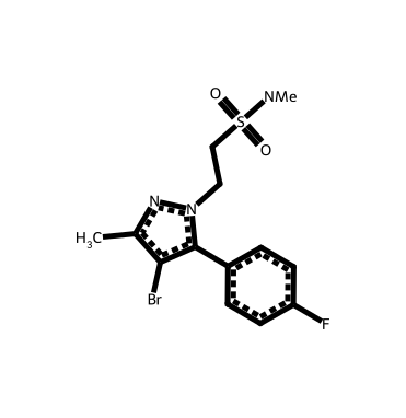 CNS(=O)(=O)CCn1nc(C)c(Br)c1-c1ccc(F)cc1